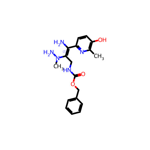 Cc1nc(/C(N)=C(\CNC(=O)OCc2ccccc2)N(C)N)ccc1O